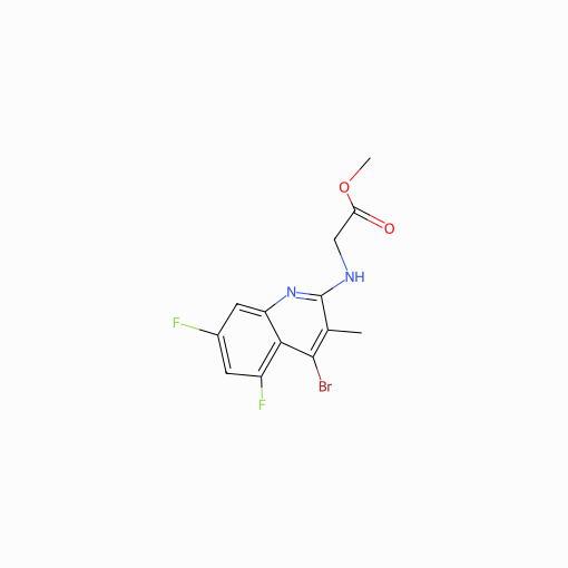 COC(=O)CNc1nc2cc(F)cc(F)c2c(Br)c1C